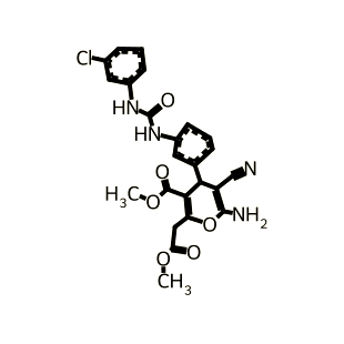 COC(=O)CC1=C(C(=O)OC)C(c2cccc(NC(=O)Nc3cccc(Cl)c3)c2)C(C#N)=C(N)O1